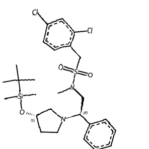 CN(C[C@@H](c1ccccc1)N1CC[C@H](O[Si](C)(C)C(C)(C)C)C1)S(=O)(=O)Cc1ccc(Cl)cc1Cl